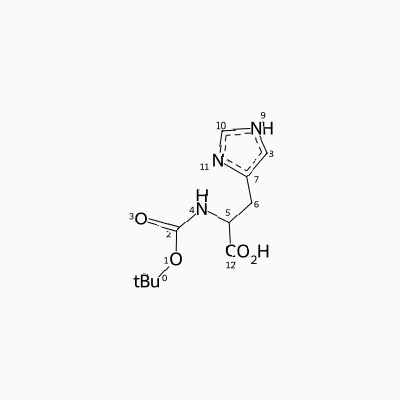 CC(C)(C)OC(=O)NC(Cc1c[nH]cn1)C(=O)O